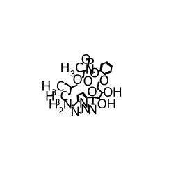 CCC(CC)COC(=O)[C@H](C)N(Oc1ccccc1OCC1OC(C#N)(c2ccc3c(N)ncnn23)C(O)C1O)P=O